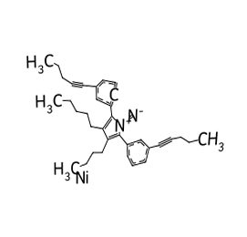 CCCC#Cc1cccc(C2=C(CCCC)C(CCCCC)=C(c3cccc(C#CCCC)c3)[N+]2=[N-])c1.[Ni]